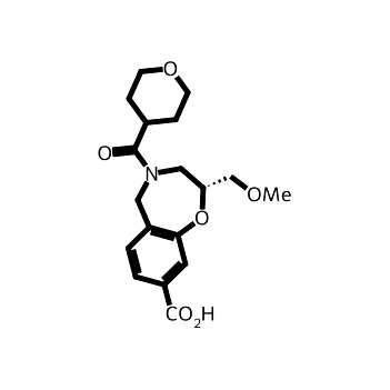 COC[C@H]1CN(C(=O)C2CCOCC2)Cc2ccc(C(=O)O)cc2O1